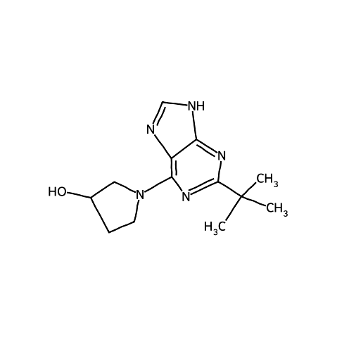 CC(C)(C)c1nc(N2CCC(O)C2)c2nc[nH]c2n1